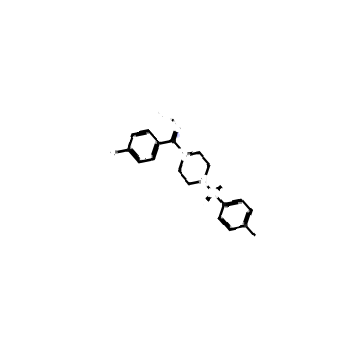 Cc1ccc(S(=O)(=O)N2CCN(/C(=N/C#N)c3ccc([N+](=O)[O-])cc3)CC2)cc1